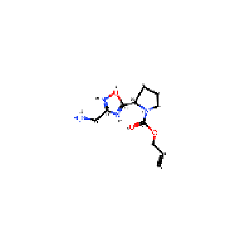 C=CCOC(=O)N1CCC[C@@H]1c1nc(CN)no1